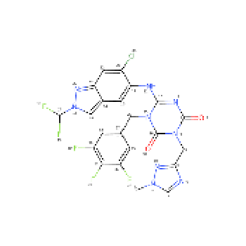 Cn1cnc(Cn2c(=O)nc(Nc3cc4cn(C(F)F)nc4cc3Cl)n(Cc3cc(F)c(F)c(F)c3)c2=O)n1